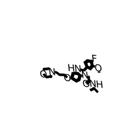 COc1cc(C2Nc3cc(OCCCN4CCOCC4)ccc3N2CC(=O)NC(C)C)ccc1F